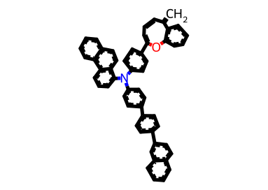 C=C1/C=C\C=C(\c2ccc(N(c3ccc(-c4ccc(-c5ccc6ccccc6c5)cc4)cc3)c3cccc4c3ccc3ccccc34)cc2)Oc2ccccc21